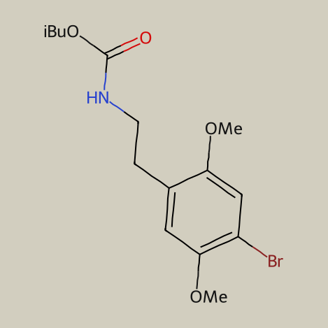 COc1cc(CCNC(=O)OCC(C)C)c(OC)cc1Br